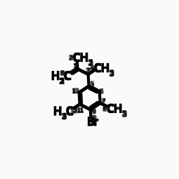 C=C(C)C(C)c1cc(C)c(Br)c(C)c1